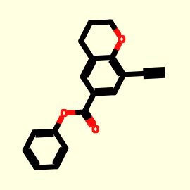 C#Cc1cc(C(=O)Oc2ccccc2)cc2c1OCCC2